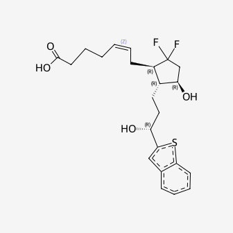 O=C(O)CCC/C=C\C[C@@H]1[C@@H](CC[C@@H](O)c2cc3ccccc3s2)[C@H](O)CC1(F)F